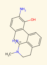 CN1CCc2cccc3c2[C@]1(N)Cc1ccc(N)c(O)c1-3